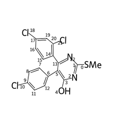 CSc1nc(O)c(-c2ccc(Cl)cc2)c(-c2ccc(Cl)cc2Cl)n1